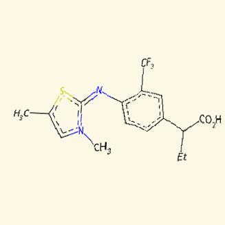 CCC(C(=O)O)c1ccc(N=c2sc(C)cn2C)c(C(F)(F)F)c1